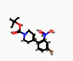 CC(C)(C)OC(=O)N1CC=C(c2ccc(Br)cc2[N+](=O)[O-])CC1